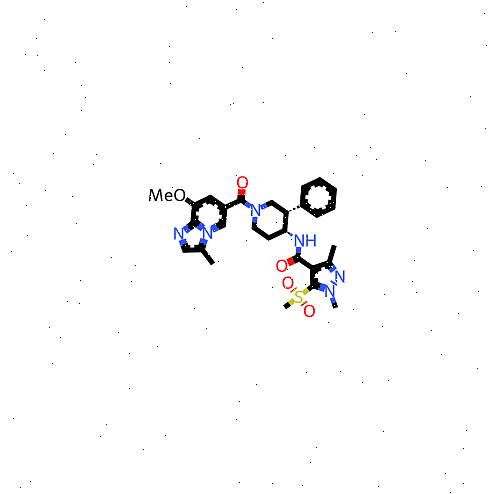 COc1cc(C(=O)N2CC[C@@H](NC(=O)c3c(C)nn(C)c3S(C)(=O)=O)[C@@H](c3ccccc3)C2)cn2c(C)cnc12